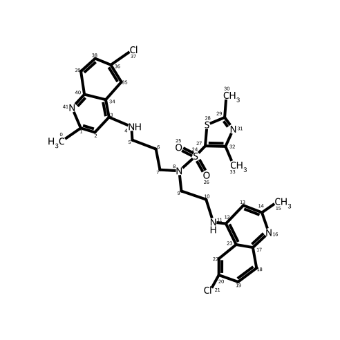 Cc1cc(NCCCN(CCNc2cc(C)nc3ccc(Cl)cc23)S(=O)(=O)c2sc(C)nc2C)c2cc(Cl)ccc2n1